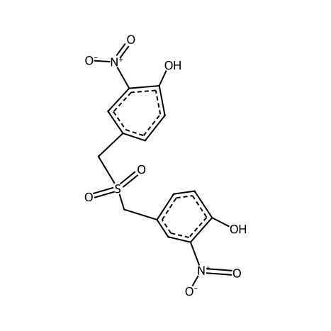 O=[N+]([O-])c1cc(CS(=O)(=O)Cc2ccc(O)c([N+](=O)[O-])c2)ccc1O